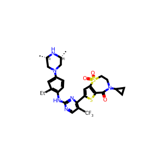 CCc1cc(N2C[C@@H](C)N[C@@H](C)C2)ccc1Nc1ncc(C(F)(F)F)c(-c2cc3c(s2)C(=O)N(C2CC2)CCS3(=O)=O)n1